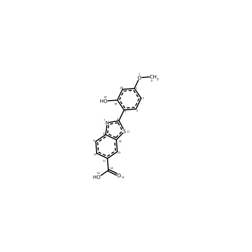 COc1ccc(-c2nc3ccc(C(=O)O)cc3s2)c(O)c1